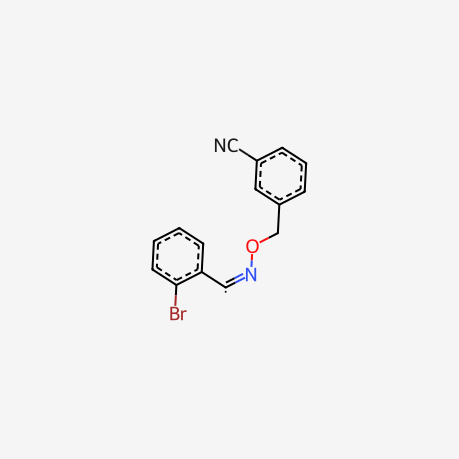 N#Cc1cccc(CO/N=[C]\c2ccccc2Br)c1